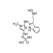 Cn1cc(O)nc1N.O=S(=O)(O)O.ONCCc1c[nH]c2ccccc12